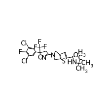 CC(C)(C)NC(=O)c1cc2c(s1)CN(C1=NOC(c3cc(Cl)c(F)c(Cl)c3)(C(F)(F)F)C1)C2